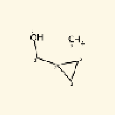 C.OCC1CC1